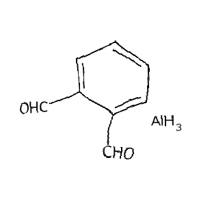 O=Cc1ccccc1C=O.[AlH3]